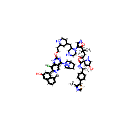 CCc1cccc2cc(O)cc(-c3ncc4c(N5CC6CCC(C5)N6)nc(OCCC5CC(CC6CNCCN6c6cnoc6C(C)(C)CC(=O)[C@@]6(C(=O)N[C@@H](C)c7ccc(-c8scnc8C)cc7)CC(O)CN6)CCN5)nc4c3F)c12